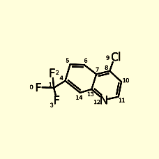 FC(F)(F)c1ccc2c(Cl)ccnc2c1